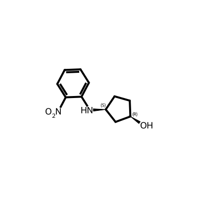 O=[N+]([O-])c1ccccc1N[C@H]1CC[C@@H](O)C1